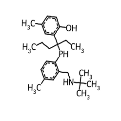 CCCC(CC)(Pc1ccc(C)cc1CNC(C)(C)C)c1cc(C)ccc1O